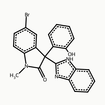 CN1C(=O)C(c2nc3ccccc3[nH]2)(c2ccccc2O)c2cc(Br)ccc21